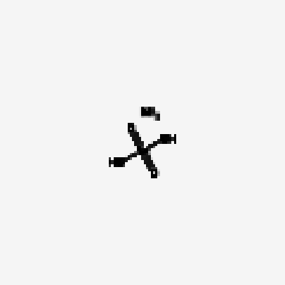 N.O=[Se](=O)(O)O